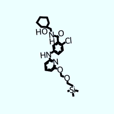 C[Si](C)(C)CCOCOc1cccc(Nc2ccc(Cl)c(C(=O)NCC3(O)CCCCC3)c2)n1